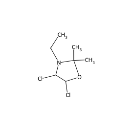 CCN1C(Cl)C(Cl)OC1(C)C